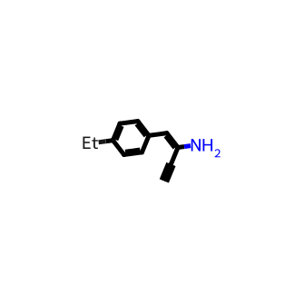 C#C/C(N)=C\c1ccc(CC)cc1